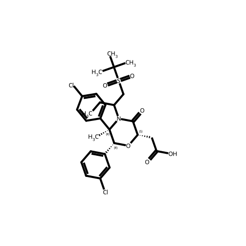 CCC(CS(=O)(=O)C(C)(C)C)N1C(=O)[C@H](CC(=O)O)O[C@H](c2cccc(Cl)c2)[C@@]1(C)c1ccc(Cl)cc1